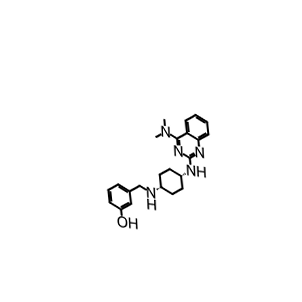 CN(C)c1nc(N[C@H]2CC[C@@H](NCc3cccc(O)c3)CC2)nc2ccccc12